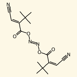 CC(C)(C)C(=CC#N)C(=O)ON=NOC(=O)C(=CC#N)C(C)(C)C